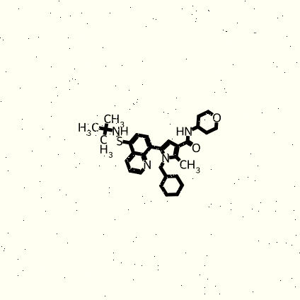 Cc1c(C(=O)NC2CCOCC2)cc(-c2ccc(SNC(C)(C)C)c3cccnc23)n1CC1CCCCC1